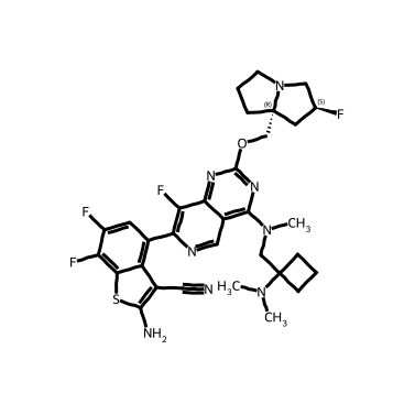 CN(CC1(N(C)C)CCC1)c1nc(OC[C@]23CCCN2C[C@@H](F)C3)nc2c(F)c(-c3cc(F)c(F)c4sc(N)c(C#N)c34)ncc12